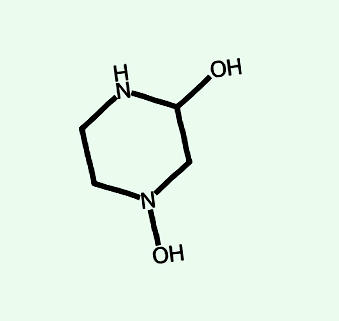 OC1CN(O)CCN1